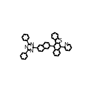 c1ccc(-c2nc(-c3ccccc3)nc(-c3ccc4cc(-c5c6ccccc6c(-c6ccccn6)c6sc7ccccc7c56)ccc4c3)n2)cc1